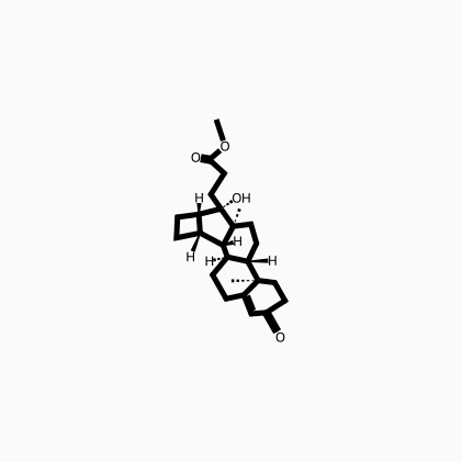 COC(=O)CC[C@]1(O)[C@H]2CC[C@H]2[C@H]2[C@@H]3CCC4=CC(=O)CC[C@]4(C)[C@H]3CC[C@@]21C